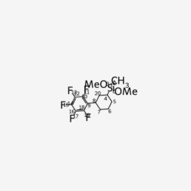 CO[Si](C)(OC)C1CCCC(c2c(F)c(F)c(F)c(F)c2F)C1